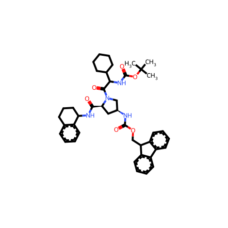 CC(C)(C)OC(=O)NC(C(=O)N1C[C@@H](NC(=O)OCC2c3ccccc3-c3ccccc32)C[C@H]1C(=O)NC1CCCc2ccccc21)C1CCCCC1